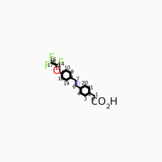 O=C(O)Cc1ccc(/C=C/c2ccc(OC(F)=C(F)F)cc2)cc1